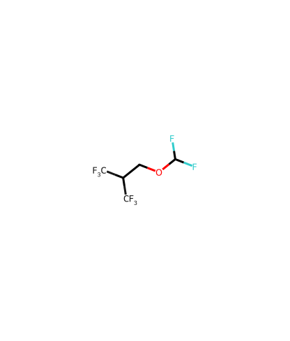 FC(F)OCC(C(F)(F)F)C(F)(F)F